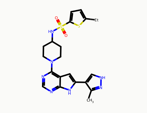 CCc1ccc(S(=O)(=O)NC2CCN(c3ncnc4[nH]c(-c5c[nH]nc5C)cc34)CC2)s1